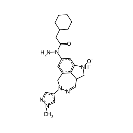 Cn1cc(N2Cc3cc(N(N)C(=O)CC4CCCCC4)cc4c3C(C=N2)C[NH+]4[O-])cn1